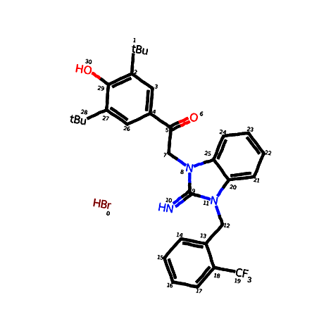 Br.CC(C)(C)c1cc(C(=O)Cn2c(=N)n(Cc3ccccc3C(F)(F)F)c3ccccc32)cc(C(C)(C)C)c1O